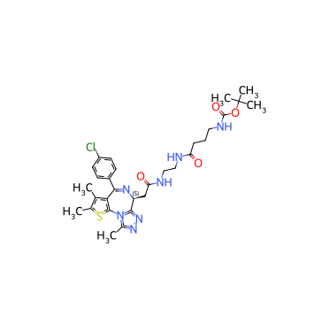 Cc1sc2c(c1C)C(c1ccc(Cl)cc1)=N[C@@H](CC(=O)NCCNC(=O)CCCNC(=O)OC(C)(C)C)c1nnc(C)n1-2